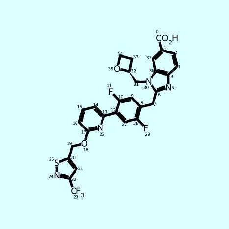 O=C(O)c1ccc2nc(Cc3cc(F)c(-c4cccc(OCc5cc(C(F)(F)F)ns5)n4)cc3F)n(C[C@@H]3CCO3)c2c1